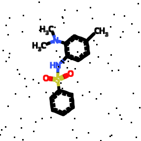 Cc1ccc(NS(=O)(=O)c2ccccc2)c(N(C)C)c1